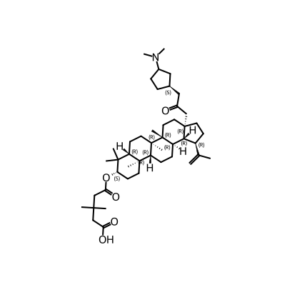 C=C(C)[C@@H]1CC[C@]2(CC(=O)C[C@H]3CCC(N(C)C)C3)CC[C@]3(C)[C@H](CC[C@@H]4[C@@]5(C)CC[C@H](OC(=O)CC(C)(C)CC(=O)O)C(C)(C)[C@@H]5CC[C@]43C)[C@@H]12